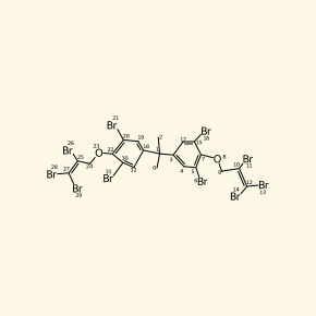 CC(C)(c1cc(Br)c(OCC(Br)=C(Br)Br)c(Br)c1)c1cc(Br)c(OCC(Br)=C(Br)Br)c(Br)c1